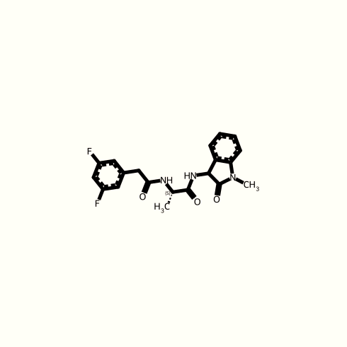 C[C@H](NC(=O)Cc1cc(F)cc(F)c1)C(=O)NC1C(=O)N(C)c2ccccc21